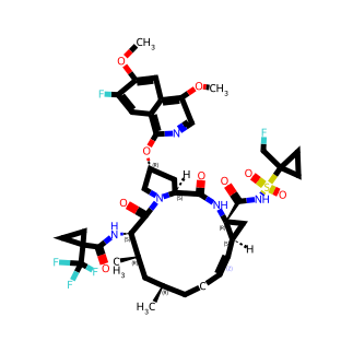 COc1cc2c(OC)cnc(O[C@@H]3C[C@H]4C(=O)N[C@]5(C(=O)NS(=O)(=O)C6(CF)CC6)C[C@H]5/C=C\CC[C@@H](C)C[C@@H](C)[C@H](NC(=O)C5(C(F)(F)F)CC5)C(=O)N4C3)c2cc1F